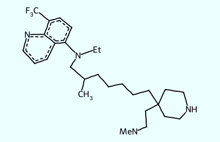 CCN(CC(C)CCCCCC1(CCNC)CCNCC1)c1ccc(C(F)(F)F)c2ncccc12